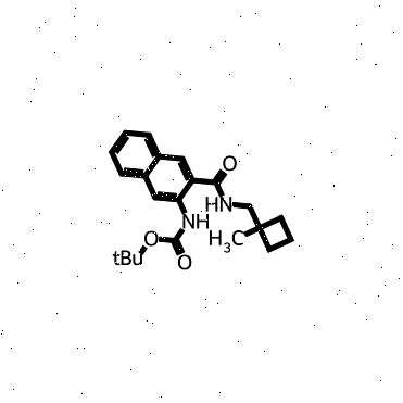 CC1(CNC(=O)c2cc3ccccc3cc2NC(=O)OC(C)(C)C)CCC1